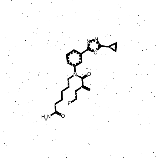 C=C(CCF)C(=O)N(CCCCCC(N)=O)c1cccc(-c2nnc(C3CC3)o2)c1